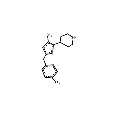 Cc1nc(Cc2ccc(C(F)(F)F)cc2)sc1C1CCNCC1